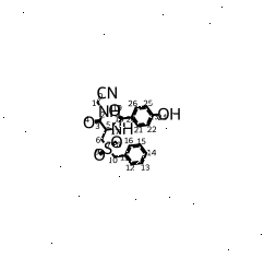 N#CCNC(=O)C(CS(=O)(=O)Cc1ccccc1)NC(=O)c1ccc(O)cc1